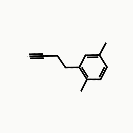 [C]#CCCc1cc(C)ccc1C